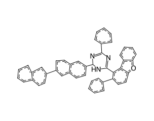 c1ccc(C2=NC(c3ccc4cc(-c5ccc6ccccc6c5)ccc4c3)NC(c3c(-c4ccccc4)ccc4oc5ccccc5c34)=N2)cc1